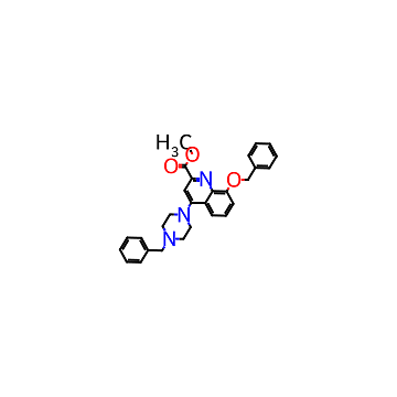 COC(=O)c1cc(N2CCN(Cc3ccccc3)CC2)c2cccc(OCc3ccccc3)c2n1